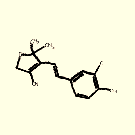 CC1(C)OCC(C#N)=C1C=Cc1ccc(O)c(Cl)c1